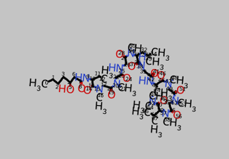 CCCCC(O)CC(=O)NC(CC)C(=O)N(C)CC(=O)N(C)CC(=O)NCC(=O)N(C)C(CC(C)C)C(=O)NCC(=O)NC(C)C(=O)N(C)CC(=O)N(C)CC(=O)N(C)C(C(=O)N(C)C)C(C)C